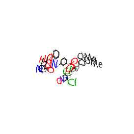 COc1ccc([C@H](Cc2c(Cl)c[n+]([O-])cc2Cl)OC(=O)c2cccc(CN(C(=O)O[C@H]3CN4CCC3CC4)c3ccccc3O)c2)cc1OC